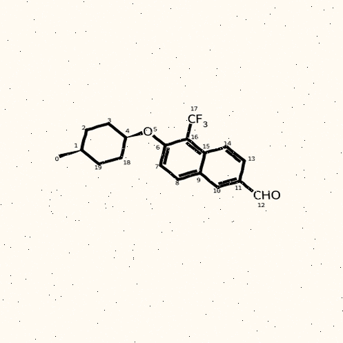 C[C@H]1CC[C@@H](Oc2ccc3cc(C=O)ccc3c2C(F)(F)F)CC1